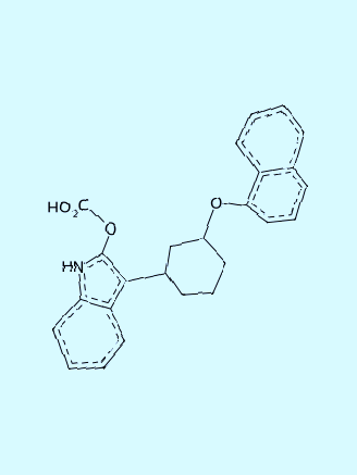 O=C(O)Oc1[nH]c2ccccc2c1C1CCCC(Oc2cccc3ccccc23)C1